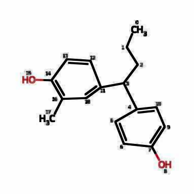 CCCC(c1ccc(O)cc1)c1ccc(O)c(C)c1